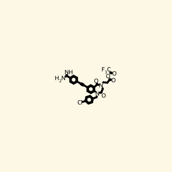 N=C(N)c1ccc(C#Cc2ccc3c(c2)C(=O)N(CCC(=O)OC(=O)C(F)(F)F)CC(=O)N3Cc2ccc(Cl)cc2)cc1